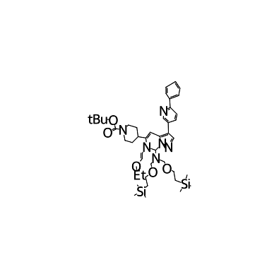 CCO/C=C/N1C(C2CCN(C(=O)OC(C)(C)C)CC2)=Cc2c(-c3ccc(-c4ccccc4)nc3)cnn2C1N(COCC[Si](C)(C)C)COCC[Si](C)(C)C